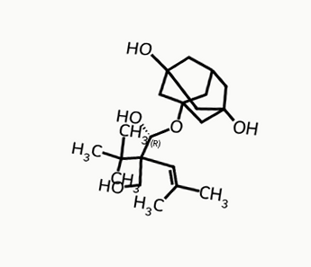 CC(C)=CC(CO)([C@H](O)OC12CC3CC(O)(CC(O)(C3)C1)C2)C(C)(C)C